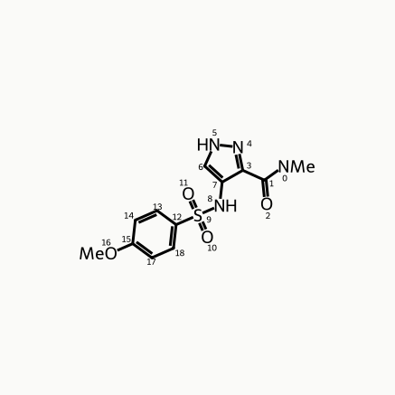 CNC(=O)c1n[nH]cc1NS(=O)(=O)c1ccc(OC)cc1